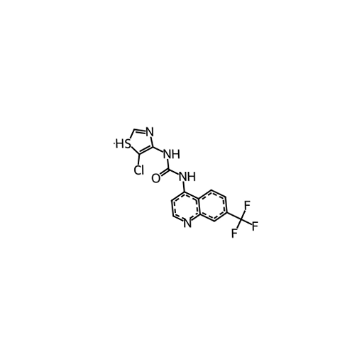 O=C(NC1=C(Cl)[SH]C=N1)Nc1ccnc2cc(C(F)(F)F)ccc12